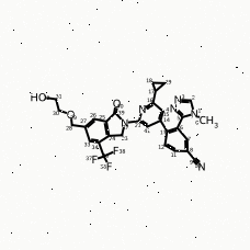 Cn1cnnc1-c1cc(C#N)ccc1-c1cc(C2CC2)nc(N2Cc3c(cc(COCCO)cc3C(F)(F)F)C2=O)c1